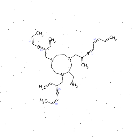 C=C/C=C\C=B/C(=C)CN1CCN(C/C(=B/C=C\C)C=C)CCN(C/C(=B/C=C\C)C=C)C(CN)C1